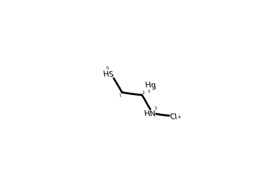 SCCNCl.[Hg]